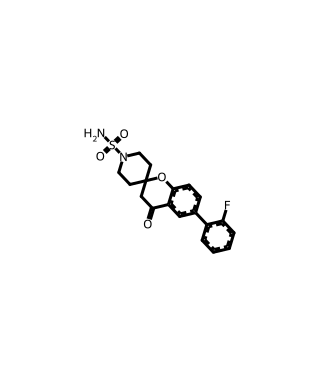 NS(=O)(=O)N1CCC2(CC1)CC(=O)c1cc(-c3ccccc3F)ccc1O2